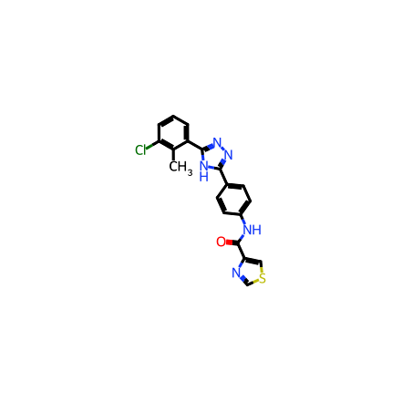 Cc1c(Cl)cccc1-c1nnc(-c2ccc(NC(=O)c3cscn3)cc2)[nH]1